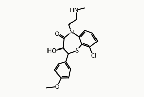 CNCCN1C(=O)C(O)C(c2ccc(OC)cc2)Sc2c(Cl)cccc21